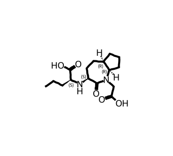 CCC[C@H](N[C@H]1CC[C@H]2CCC[C@H]2N(CC(=O)O)C1=O)C(=O)O